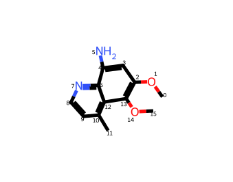 COc1cc(N)c2nccc(C)c2c1OC